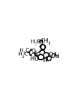 CN(C)c1ccc2c(c1)C[C@]13CCC4(C[C@]1(O)CC[C@@H]1C3C2C[C@]2(C)[C@@H](O)CC[C@@H]12)OCC(C)(C)CO4